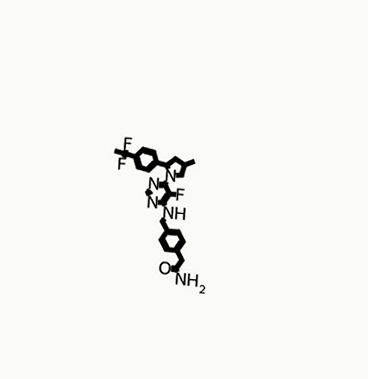 CC1CC(c2ccc(C(C)(F)F)cc2)N(c2ncnc(NCc3ccc(CC(N)=O)cc3)c2F)C1